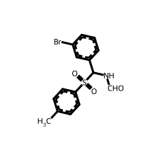 Cc1ccc(S(=O)(=O)C(NC=O)c2cccc(Br)c2)cc1